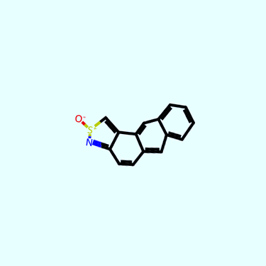 [O-][s+]1cc2c(ccc3cc4ccccc4cc32)n1